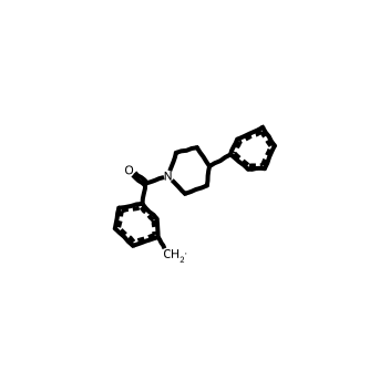 [CH2]c1cccc(C(=O)N2CCC(c3ccccc3)CC2)c1